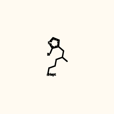 CCCCCCCCCCC(C)Cc1ccsc1Br